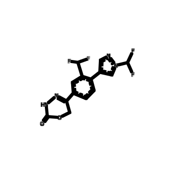 O=C1NN=C(c2ccc(-c3cnn(C(F)F)c3)c(C(F)F)c2)CO1